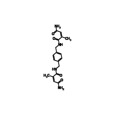 C/C(=C/C(N)=O)C(=O)NCc1ccc(CNC(=O)/C(C)=C\C(N)=O)cc1